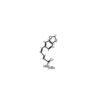 CCCCNC(=O)/C=C/C=C\c1ccc2c(c1)OCO2